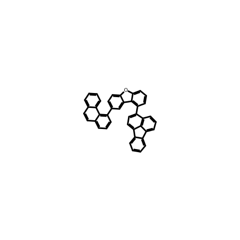 c1ccc2c(c1)-c1cccc3c(-c4cccc5oc6ccc(-c7cccc8ccc9ccccc9c78)cc6c45)ccc-2c13